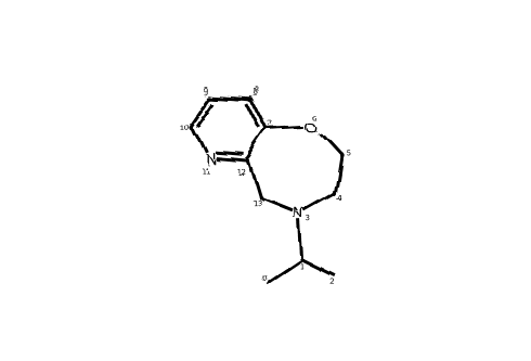 CC(C)N1CCOc2cccnc2C1